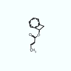 C/C=C/C(=O)OC1Cc2ccccc21